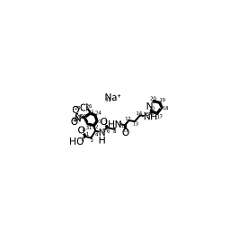 O=C(O)CC(NC(=O)CNC(=O)CCCNc1ccccn1)c1ccc(Cl)c([N+](=O)[O-])c1.[Na+]